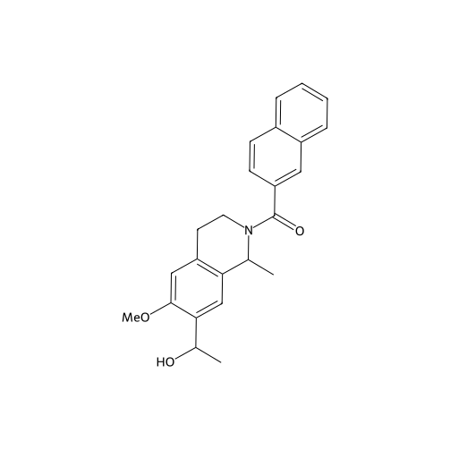 COc1cc2c(cc1C(C)O)C(C)N(C(=O)c1ccc3ccccc3c1)CC2